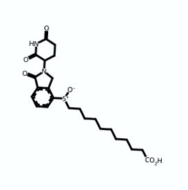 O=C(O)CCCCCCCCCC[S+]([O-])c1cccc2c1CN(C1CCC(=O)NC1=O)C2=O